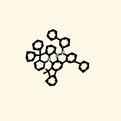 CC1(C)c2ccccc2-c2cc3c4c(c21)N1c2c(cccc2C(c2ccccc2)(c2ccccc2)C2C=CC=CC21)B4N(c1cccc(-c2ccccc2)c1)c1ccc(-c2ccccc2)cc1-3